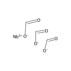 O=C[O-].O=C[O-].O=C[O-].[Nb+3]